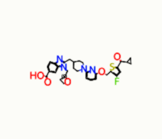 O=C(O)c1ccc2nc(CC3CCN(c4cccc(OCc5sc(C(=O)C6CC6)cc5F)n4)CC3)n(C[C@@H]3CCO3)c2c1